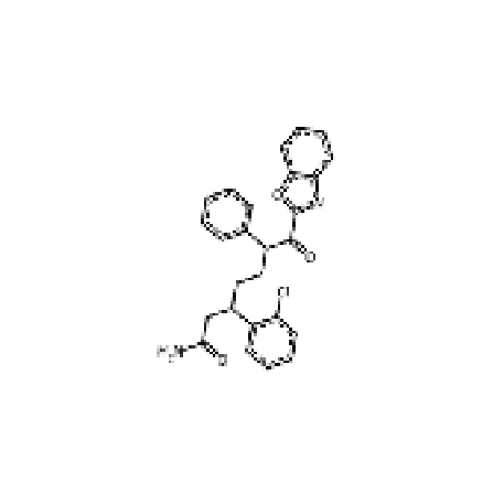 NC(=O)CC(CCC(C(=O)c1nc2ccccc2o1)c1ccccc1)c1ccccc1Cl